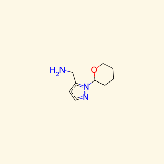 NCc1ccnn1C1CCCCO1